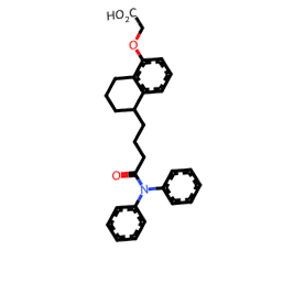 O=C(O)COc1cccc2c1CCCC2CCCC(=O)N(c1ccccc1)c1ccccc1